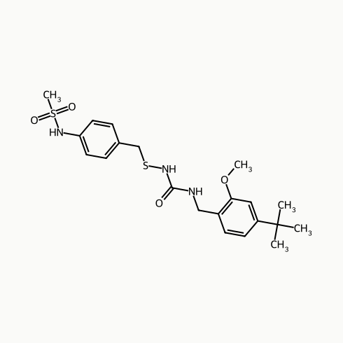 COc1cc(C(C)(C)C)ccc1CNC(=O)NSCc1ccc(NS(C)(=O)=O)cc1